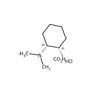 CN(C)[C@@H]1CCCC[C@@H]1C(=O)O.Cl